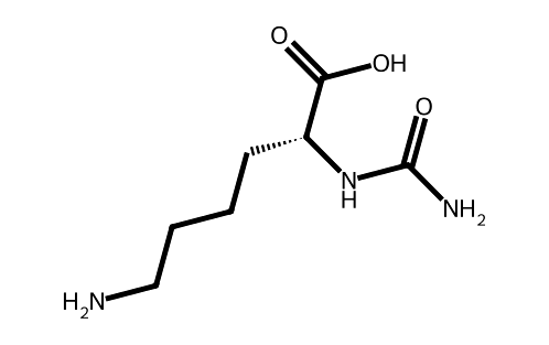 NCCCC[C@@H](NC(N)=O)C(=O)O